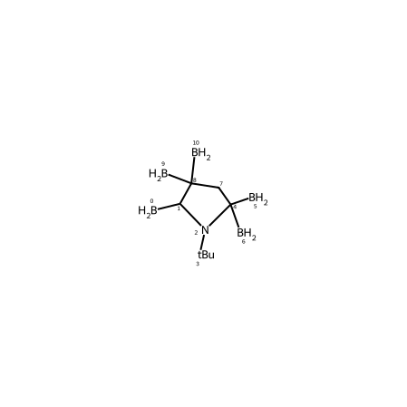 BC1N(C(C)(C)C)C(B)(B)CC1(B)B